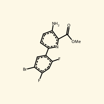 COC(=O)c1nc(-c2cc(Br)c(F)cc2F)ccc1N